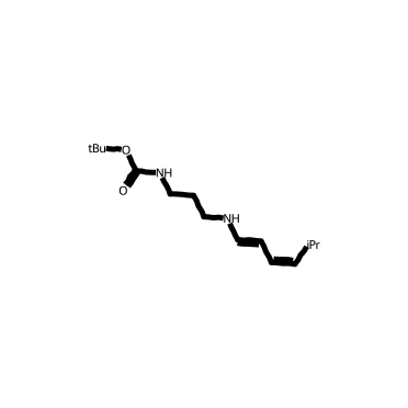 CC(C)/C=C\C=C\NCCCNC(=O)OC(C)(C)C